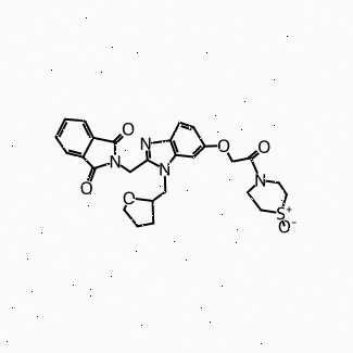 O=C(COc1ccc2nc(CN3C(=O)c4ccccc4C3=O)n(CC3CCCO3)c2c1)N1CC[S+]([O-])CC1